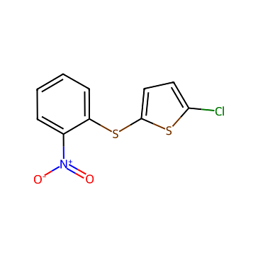 O=[N+]([O-])c1ccccc1Sc1ccc(Cl)s1